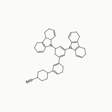 N#CC1CCC(C2=CCCC(C3=CC(n4c5c(c6c4C=CCC6)CCC=C5)=CC(N4C5=C(CCC=C5)C5CCC=CC54)C3)=C2)CC1